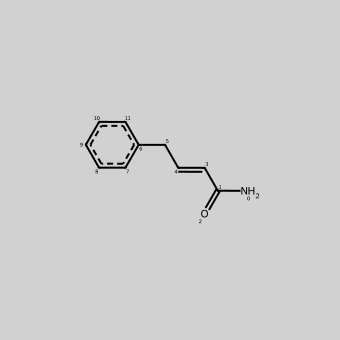 NC(=O)C=CCc1ccccc1